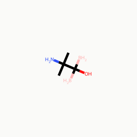 BC(B)(O)C(C)(C)N